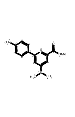 COC(=O)c1cc(N(C)C)cc(-c2ccc([N+](=O)[O-])cc2)n1